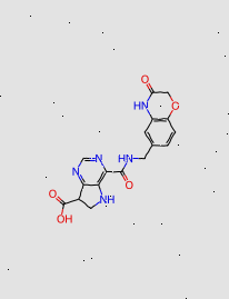 O=C1COc2ccc(CNC(=O)c3ncnc4c3NCC4C(=O)O)cc2N1